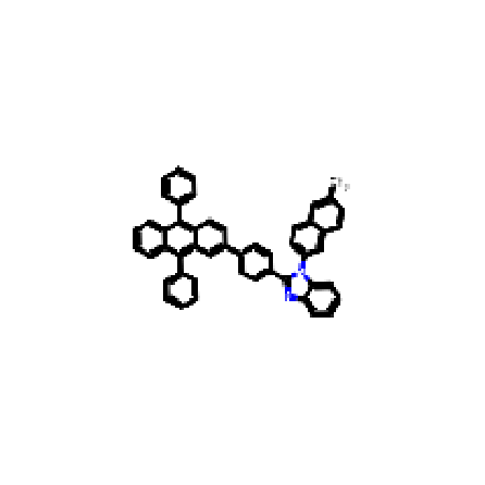 Cc1ccc2cc(-n3c(-c4ccc(-c5ccc6c(-c7ccccc7)c7ccccc7c(-c7ccccc7)c6c5)cc4)nc4ccccc43)ccc2c1